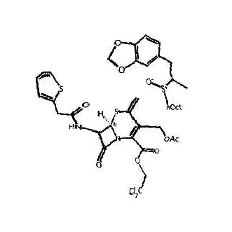 C=C1S[C@@H]2C(NC(=O)Cc3cccs3)C(=O)N2C(C(=O)OCC(Cl)(Cl)Cl)=C1COC(C)=O.CCCCCCCC[S+]([O-])C(C)Cc1ccc2c(c1)OCO2